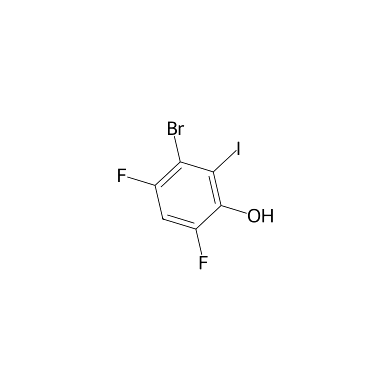 Oc1c(F)cc(F)c(Br)c1I